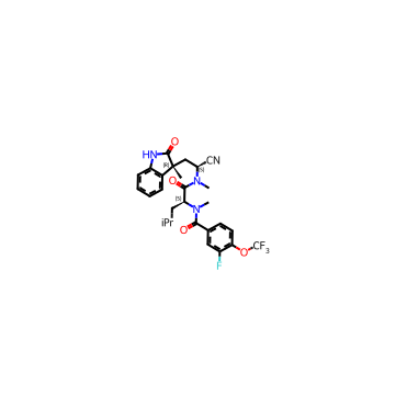 CC(C)C[C@@H](C(=O)N(C)[C@H](C#N)C[C@@]1(C)C(=O)Nc2ccccc21)N(C)C(=O)c1ccc(OC(F)(F)F)c(F)c1